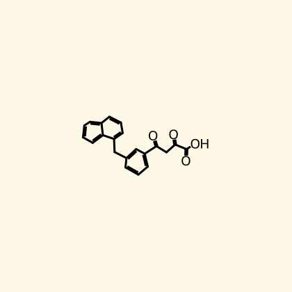 O=C(O)C(=O)CC(=O)c1cccc(Cc2cccc3ccccc23)c1